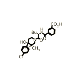 CC[C@H](C)[C@@H](NC(=O)c1cccc(C(=O)O)c1)C(=O)N1CC[C@](O)(c2ccc(Cl)cc2)C(C)(C)C1